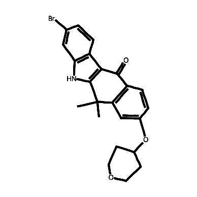 CC1(C)c2cc(OC3CCOCC3)ccc2C(=O)c2c1[nH]c1cc(Br)ccc21